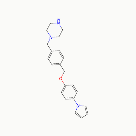 c1ccn(-c2ccc(OCc3ccc(CN4CCNCC4)cc3)cc2)c1